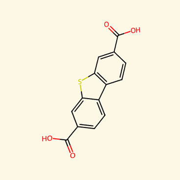 O=C(O)c1ccc2c(c1)sc1cc(C(=O)O)ccc12